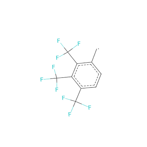 [CH2]c1ccc(C(F)(F)F)c(C(F)(F)F)c1C(F)(F)F